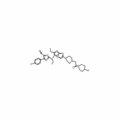 CCc1nc2sc(C3CCN(CC(=O)N4CCC(F)CC4)CC3)cn2c1N(CC)c1nc(-c2ccc(F)cc2)c(C#N)s1